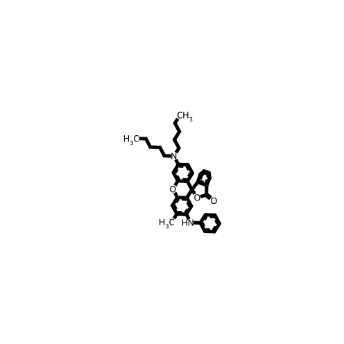 CCCCCN(CCCCC)c1ccc2c(c1)Oc1cc(C)c(Nc3ccccc3)cc1C21OC(=O)c2ccccc21